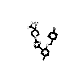 COC(=O)C1(F)CCN(c2nc(-c3cc(C)ccc3OCc3ccc(Br)cc3)cs2)CC1